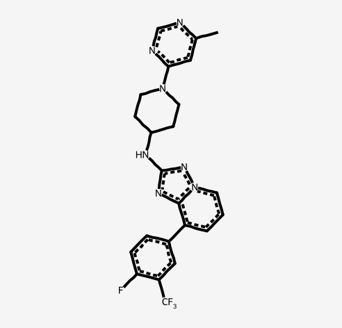 Cc1cc(N2CCC(Nc3nc4c(-c5ccc(F)c(C(F)(F)F)c5)cccn4n3)CC2)ncn1